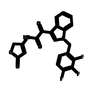 O=C1C=C(NC(=O)C(=O)c2cn(Cc3ccc(F)c(F)c3F)c3ccccc23)CO1